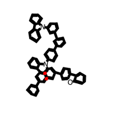 c1ccc(-c2cccc(-c3ccccc3N(c3ccc(-c4cccc(-c5cccc(-n6c7ccccc7c7ccccc76)c5)c4)cc3)c3cccc(-c4ccc5c(c4)oc4ccccc45)c3)c2)cc1